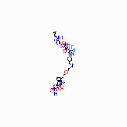 CN(CCCOCCCc1cccc2c1n(C)c(=O)n2[C@H]1CCC(=O)NC1=O)CC1CCC(n2cc(NC(=O)c3coc(-c4ccnc(NCC5CC5)c4)n3)c(C(F)F)n2)CC1